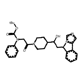 CC(C)(C)OC(=O)N(CC(=O)N1CCC(C(O)CC2c3ccccc3-c3cncn32)CC1)c1ccccc1